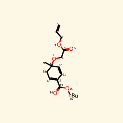 C=CCOC(=O)COC1(C)C=CC(C(=O)OCCCC)=CC1